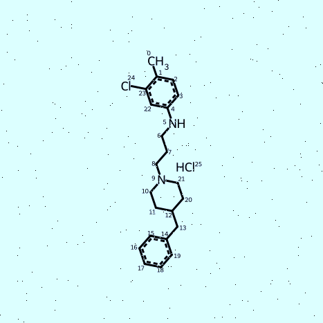 Cc1ccc(NCCCN2CCC(Cc3ccccc3)CC2)cc1Cl.Cl